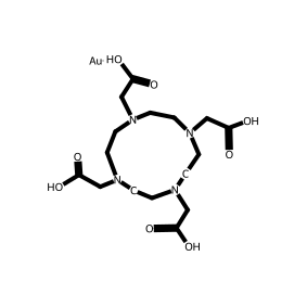 O=C(O)CN1CCN(CC(=O)O)CCN(CC(=O)O)CCN(CC(=O)O)CC1.[Au]